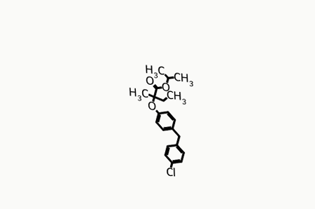 CCC(C)(Oc1ccc(Cc2ccc(Cl)cc2)cc1)C(=O)OC(C)C